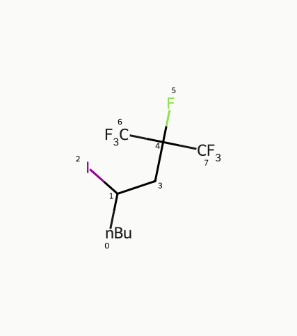 CCCCC(I)CC(F)(C(F)(F)F)C(F)(F)F